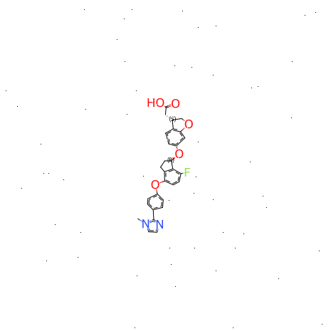 Cn1ccnc1-c1ccc(Oc2ccc(F)c3c2CC[C@H]3Oc2ccc3c(c2)OC[C@H]3CC(=O)O)cc1